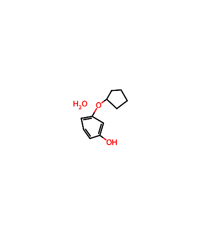 O.Oc1cccc(OC2CCCC2)c1